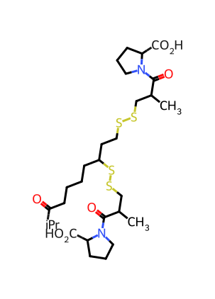 CC(C)C(=O)CCCCC(CCSSCC(C)C(=O)N1CCCC1C(=O)O)SSCC(C)C(=O)N1CCCC1C(=O)O